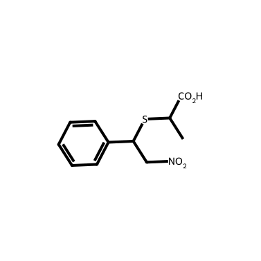 CC(SC(C[N+](=O)[O-])c1ccccc1)C(=O)O